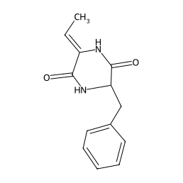 CC=C1NC(=O)C(Cc2ccccc2)NC1=O